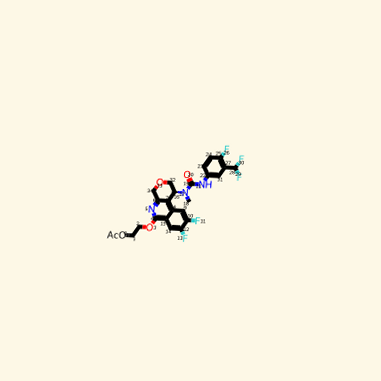 CC(=O)OCCOc1nc2c(c3cc(F)c(F)cc13)[C@H](N(C)C(=O)Nc1ccc(F)c(C(F)F)c1)COC2